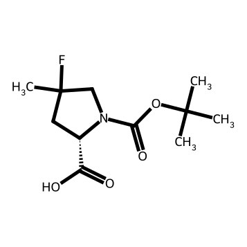 CC1(F)C[C@@H](C(=O)O)N(C(=O)OC(C)(C)C)C1